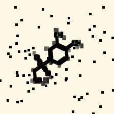 Cc1ccc(S(=O)(=O)CS(=O)(=O)O)cc1C